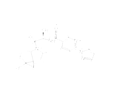 C[C@@H](NC(=O)c1ccc(-n2cccn2)nc1)C(=O)N1CC[C@]2(C1)CC2(F)F